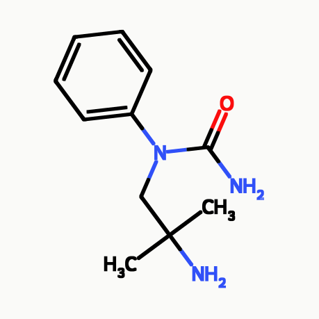 CC(C)(N)CN(C(N)=O)c1ccccc1